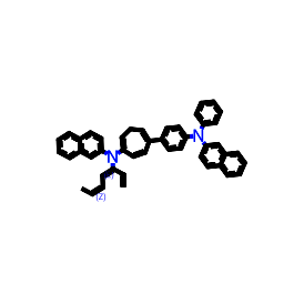 C=C/C(=C\C=C/C)N(C1=CCC=C(c2ccc(N(c3ccccc3)c3ccc4ccccc4c3)cc2)C=C1)c1ccc2ccccc2c1